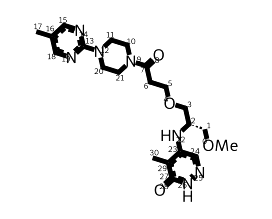 COC[C@@H](COCCC(=O)N1CCN(c2ncc(C)cn2)CC1)Nc1cn[nH]c(=O)c1C